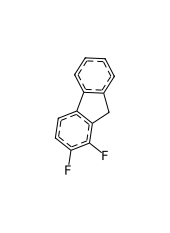 Fc1ccc2c(c1F)Cc1ccccc1-2